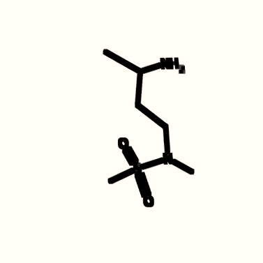 CC(N)CCN(C)S(C)(=O)=O